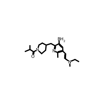 Bc1cc(/C=C/N(C)CC)c(C)nc1CC1CCN(C(=O)C(C)C)CC1